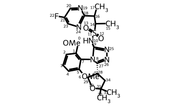 COc1cccc(OC)c1-n1c(NS(=O)(=O)C(C)C(C)c2ncc(F)cn2)nnc1[C@H]1COC(C)(C)C1